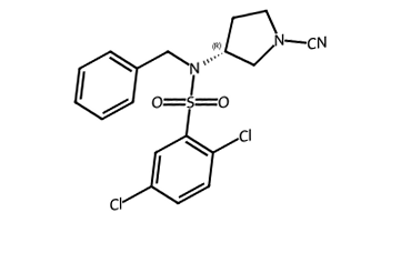 N#CN1CC[C@@H](N(Cc2ccccc2)S(=O)(=O)c2cc(Cl)ccc2Cl)C1